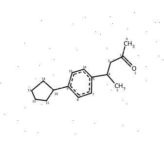 CC(=O)CC(C)c1ccc(C2CCCC2)cc1